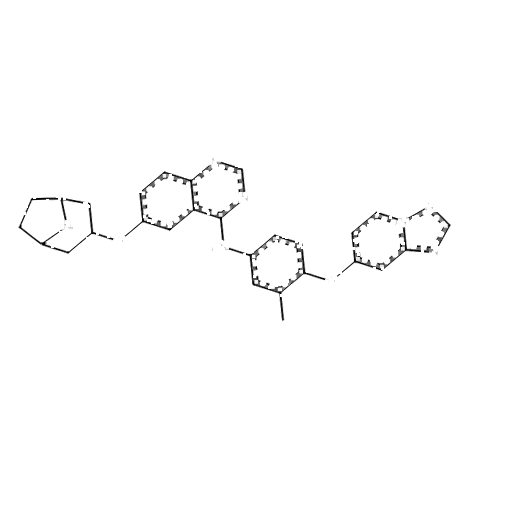 Cc1cc(Nc2ncnc3ccc(OC4CC5CCC(C4)N5)cc23)ccc1Oc1ccn2ncnc2c1